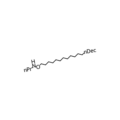 CCCCCCCCCCCCCCCCCCCCCCONCCC